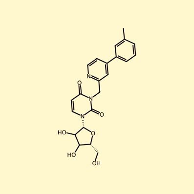 Cc1cccc(-c2ccnc(Cn3c(=O)ccn([C@@H]4O[C@H](CO)C(O)C4O)c3=O)c2)c1